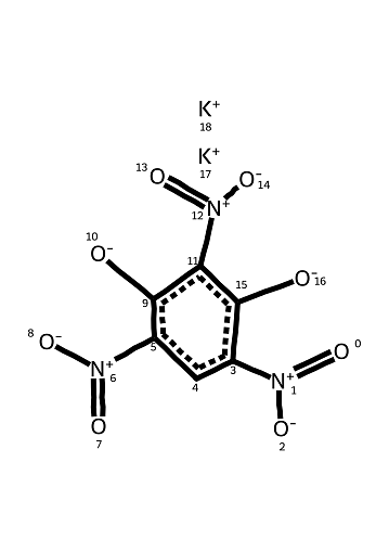 O=[N+]([O-])c1cc([N+](=O)[O-])c([O-])c([N+](=O)[O-])c1[O-].[K+].[K+]